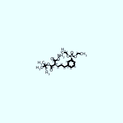 CCOP(=O)(OCC)c1cccc(CCC[C@H](C(=O)ON)C(=O)OC(C)(C)C)c1